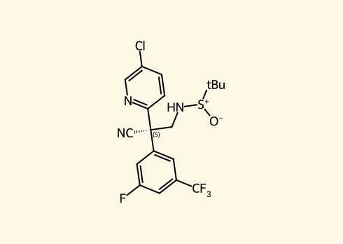 CC(C)(C)[S+]([O-])NC[C@@](C#N)(c1cc(F)cc(C(F)(F)F)c1)c1ccc(Cl)cn1